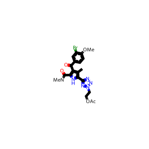 CNC(=O)c1[nH]c(-c2nnn(CCOC(C)=O)n2)c(C)c1C(=O)c1ccc(OC)c(Br)c1